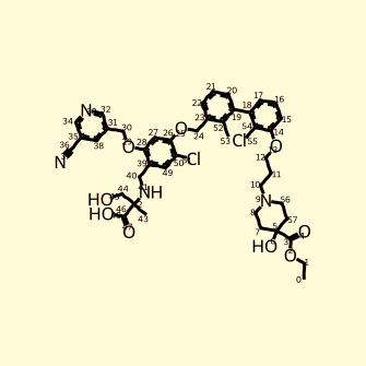 CCOC(=O)C1(O)CCN(CCCOc2cccc(-c3cccc(COc4cc(OCc5cncc(C#N)c5)c(CNC(C)(CO)C(=O)O)cc4Cl)c3C)c2Cl)CC1